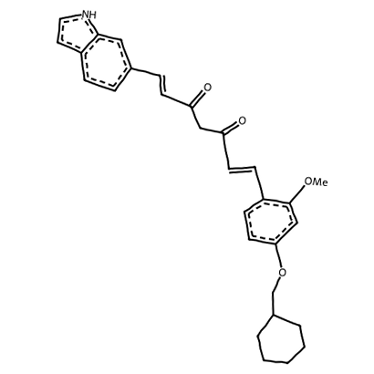 COc1cc(OCC2CCCCC2)ccc1/C=C/C(=O)CC(=O)/C=C/c1ccc2cc[nH]c2c1